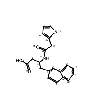 O=C(O)CC(Cc1ccc2ccccc2c1)NC(=O)Cc1cccs1